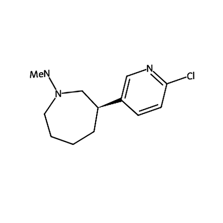 CNN1CCCC[C@H](c2ccc(Cl)nc2)C1